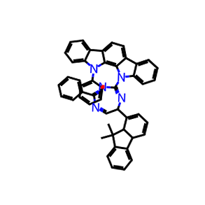 CC1(C)c2ccccc2C2C=CC=C(C3C=NC(c4ccccc4)=NC(n4c5ccccc5c5ccc6c7ccccc7n(-c7ccccc7)c6c54)=N3)C21